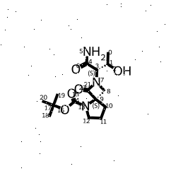 CC(O)[C@@H](C(N)=O)N1C[C@@]2(CCCN2C(=O)OC(C)(C)C)C1=O